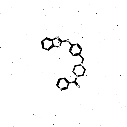 O=C(c1cccnc1)N1CCN(Cc2ccc(Oc3nc4ccccc4s3)cc2)CC1